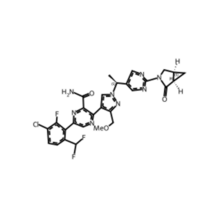 COCc1nn([C@@H](C)c2cnc(N3C[C@H]4C[C@H]4C3=O)nc2)cc1-c1ncc(-c2c(C(F)F)ccc(Cl)c2F)nc1C(N)=O